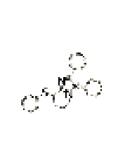 c1ccc(SC2CCCN3C2=N[C@H](c2ccccc2)[C@@H]3c2ccccc2)cc1